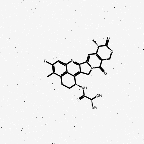 CCC[C@H](O)C(=O)N[C@H]1CCc2c(C)c(F)cc3nc4c(c1c23)Cn1c-4cc2c(c1=O)COC(=O)[C@@H]2C